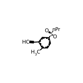 C#Cc1cc(S(=O)(=O)CCC)ccc1C